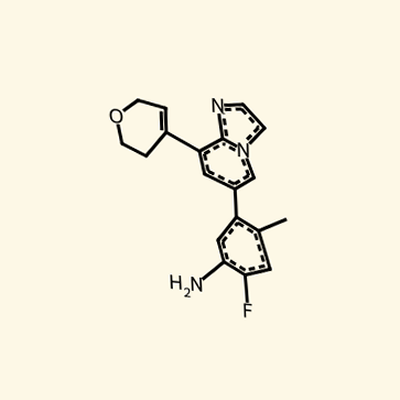 Cc1cc(F)c(N)cc1-c1cc(C2=CCOCC2)c2nccn2c1